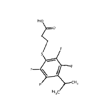 CC(C)c1c(F)c(F)c(SCCC(=O)O)c(F)c1F